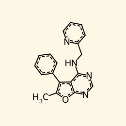 Cc1oc2ncnc(NCc3ccccn3)c2c1-c1ccccc1